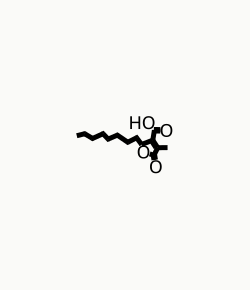 CCCCCCCCC1OC(=O)C(C)=C1C(=O)O